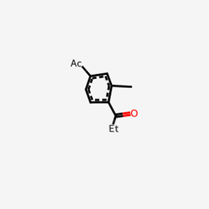 CCC(=O)c1ccc(C(C)=O)cc1C